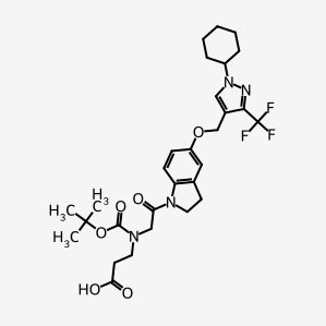 CC(C)(C)OC(=O)N(CCC(=O)O)CC(=O)N1CCc2cc(OCc3cn(C4CCCCC4)nc3C(F)(F)F)ccc21